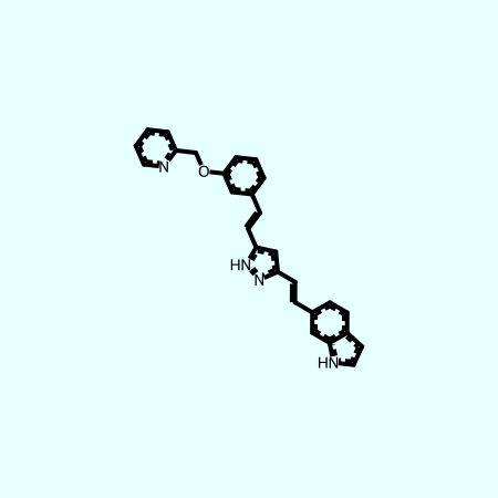 C(=Cc1cc(C=Cc2ccc3cc[nH]c3c2)n[nH]1)c1cccc(OCc2ccccn2)c1